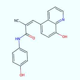 N#CC(=Cc1ccc(O)c2ncccc12)C(=O)Nc1ccc(O)cc1